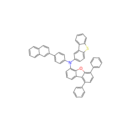 c1ccc(-c2ccc(-c3ccccc3)c3c2oc2c(N(c4ccc(-c5ccc6ccccc6c5)cc4)c4ccc5sc6ccccc6c5c4)cccc23)cc1